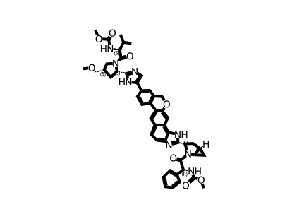 COC[C@H]1C[C@@H](c2ncc(-c3ccc4c(c3)COc3cc5c(ccc6nc([C@@H]7C[C@H]8CC8N7C(=O)[C@H](NC(=O)OC)c7ccccc7)[nH]c65)cc3-4)[nH]2)N(C(=O)[C@@H](NC(=O)OC)C(C)C)C1